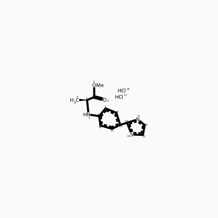 COC(=O)[C@H](C)Nc1ccc(-c2nccs2)cc1.Cl.Cl